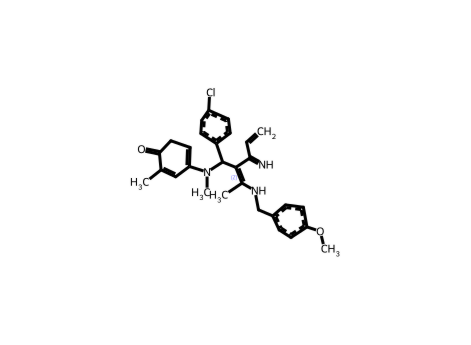 C=CC(=N)/C(=C(/C)NCc1ccc(OC)cc1)C(c1ccc(Cl)cc1)N(C)C1=CCC(=O)C(C)=C1